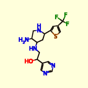 NC1CNC(c2cc(C(F)(F)F)cs2)CC1NCC(O)c1cncnc1